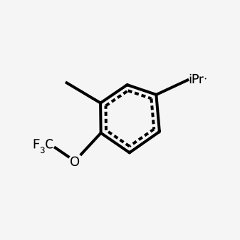 C[C](C)c1ccc(OC(F)(F)F)c(C)c1